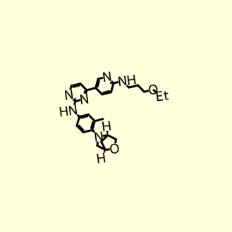 CCOCCCNc1ccc(-c2ccnc(Nc3ccc(N4C[C@@H]5C[C@H]4CO5)c(C)c3)n2)cn1